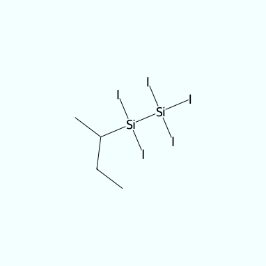 CCC(C)[Si](I)(I)[Si](I)(I)I